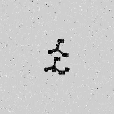 O=[PH](O)O.O=[PH](O)O.[Er]